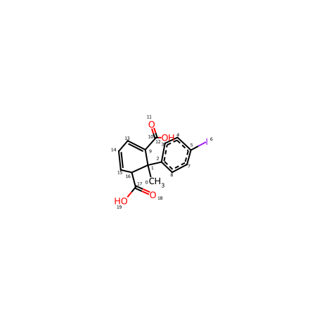 CC1(c2ccc(I)cc2)C(C(=O)O)=CC=CC1C(=O)O